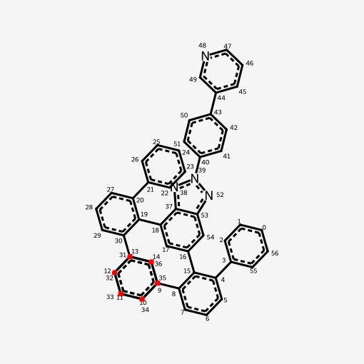 c1ccc(-c2cccc(-c3ccccc3)c2-c2cc(-c3c(-c4ccccc4)cccc3-c3ccccc3)c3nn(-c4ccc(-c5cccnc5)cc4)nc3c2)cc1